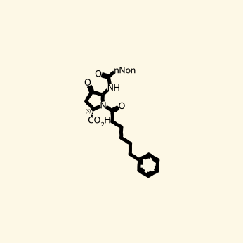 CCCCCCCCCC(=O)NC1C(=O)C[C@@H](C(=O)O)N1C(=O)CCCCCc1ccccc1